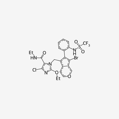 CCNC(=O)c1c(Cl)nc(OCC)n1Cc1c2ccocc-2c(Br)c1-c1ccccc1NS(=O)(=O)C(F)(F)F